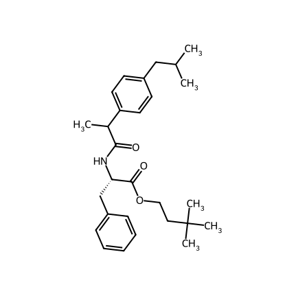 CC(C)Cc1ccc(C(C)C(=O)N[C@@H](Cc2ccccc2)C(=O)OCCC(C)(C)C)cc1